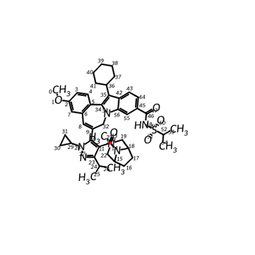 COc1ccc2c(c1)C=C(c1c(C(=O)N3C4CCC3CN(C)C4)c(C(C)C)nn1C1CC1)Cn1c-2c(C2CCCCC2)c2ccc(C(=O)NS(=O)(=O)C(C)C)cc21